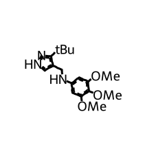 COc1cc(NCc2c[nH]nc2C(C)(C)C)cc(OC)c1OC